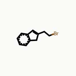 BrCCC1=Cc2ccccc2C1